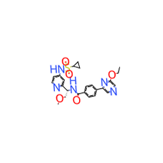 CCOc1cncc(-c2ccc(C(=O)N[C@H](COC)c3cc(NS(=O)(=O)C4CC4)ccn3)cc2)n1